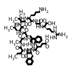 CC[C@H](C)[C@H](NC(=O)[C@H](Cc1ccccc1)NC(=O)[C@@H](N)CCC(=O)O)C(=O)N[C@@H](C)C(=O)N[C@@H](Cc1c[nH]c2ccccc12)C(=O)N[C@@H](CC(C)C)C(=O)N[C@H](C(=O)N[C@@H](CCCCN)C(=O)NCC(=O)N[C@@H](CCCNC(=N)N)C(=O)O)C(C)C